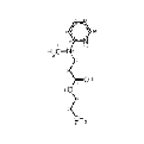 CCCOC(=O)CCN(C)c1ccccn1